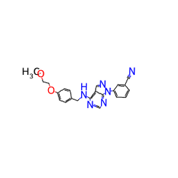 COCCOc1ccc(CNc2ncnc3c2cnn3-c2cccc(C#N)c2)cc1